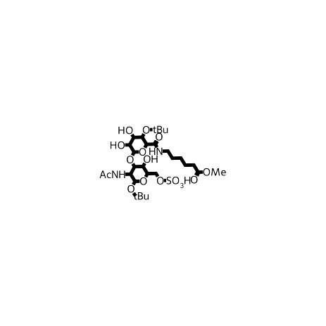 COC(=O)CCCCCNC(=O)C1OC(OC2C(O)C(COS(=O)(=O)O)OC(OC(C)(C)C)C2NC(C)=O)C(O)C(O)C1OC(C)(C)C